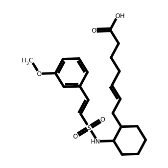 COc1cccc(C=CS(=O)(=O)NC2CCCCC2CC=CCCCC(=O)O)c1